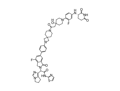 O=C1CC[C@H](Nc2ccc(N3CCC(O)(CC(=O)N4CCC5(CC4)CN(c4ccc(-c6cc(F)c7c(c6)C(=O)N(C(C(=O)Nc6nccs6)c6ncn8c6CCC8)C7)cc4)C5)CC3)c(F)c2)C(=O)N1